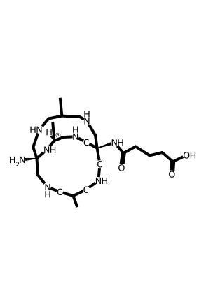 CC1CNC[C@]2(N)CNCC(C)CNC[C@](NC(=O)CCCC(=O)O)(CNC1)CNC[C@@H](C)N2